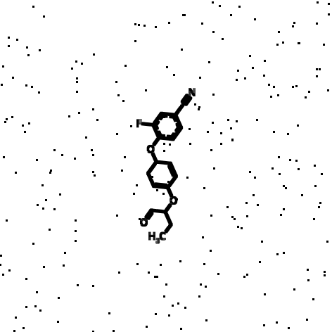 CCC(C=O)OC1=CCC(Oc2ccc(C#N)cc2F)C=C1